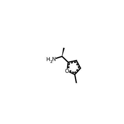 Cc1ccc([C@H](C)N)o1